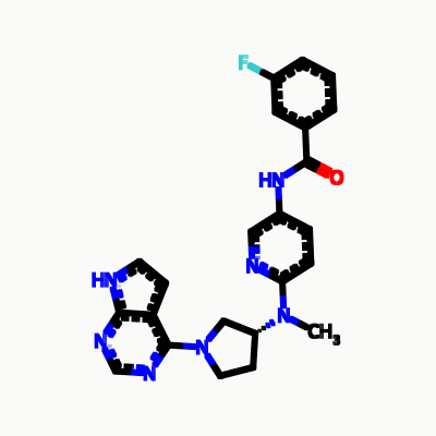 CN(c1ccc(NC(=O)c2cccc(F)c2)cn1)[C@@H]1CCN(c2ncnc3[nH]ccc23)C1